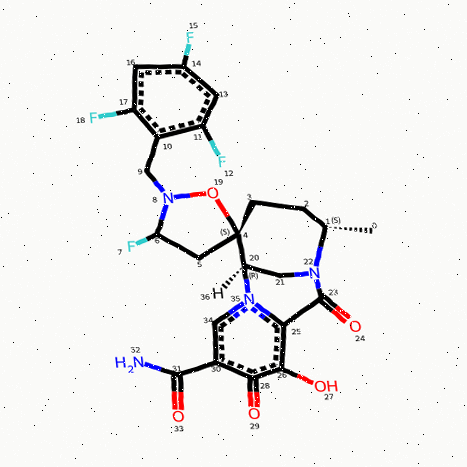 C[C@H]1CC[C@]2(CC(F)N(Cc3c(F)cc(F)cc3F)O2)[C@H]2CN1C(=O)c1c(O)c(=O)c(C(N)=O)cn12